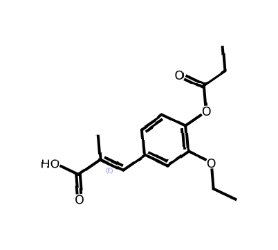 CCOc1cc(/C=C(\C)C(=O)O)ccc1OC(=O)CC